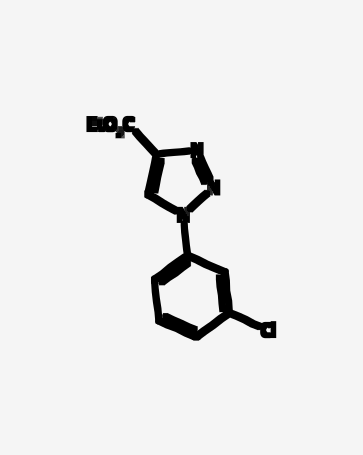 CCOC(=O)c1cn(-c2cccc(Cl)c2)nn1